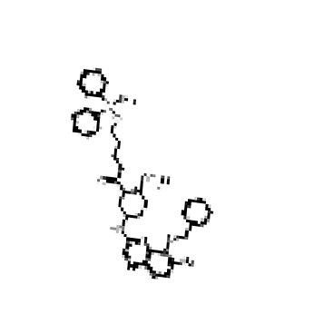 CC(C)(C)[Si](OCCCNC(=O)C1CC(Nc2cnc3ccc(Br)c(OCc4ccccc4)c3n2)CCN1C(=O)O)(c1ccccc1)c1ccccc1